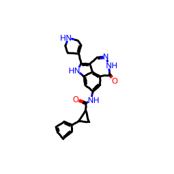 O=C1NN=Cc2c(C3=CCNCC3)[nH]c3cc(NC(=O)C4CC4c4ccccc4)cc1c23